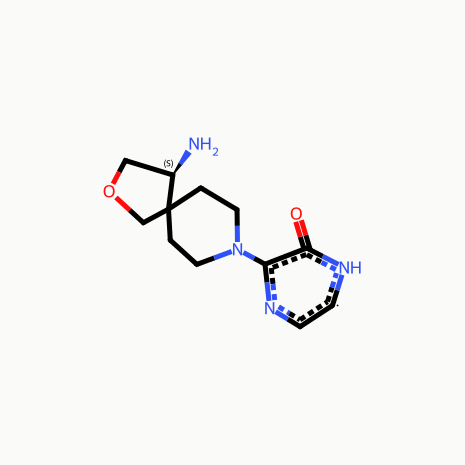 N[C@@H]1COCC12CCN(c1nc[c][nH]c1=O)CC2